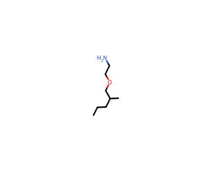 CCCC(C)COCCN